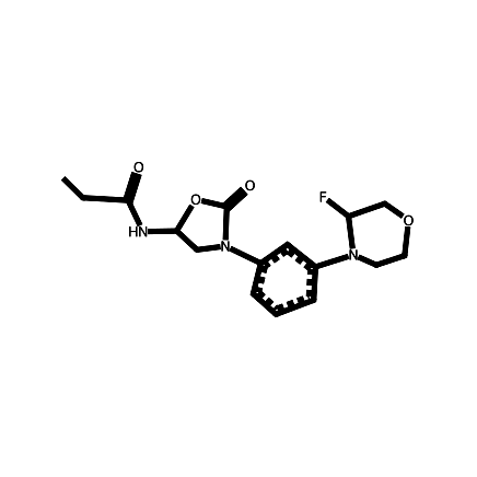 CCC(=O)NC1CN(c2cccc(N3CCOCC3F)c2)C(=O)O1